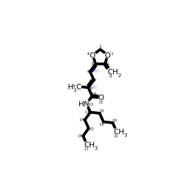 C=C1OCO/C1=C/C=C(\C)C(=O)NC(CCCC)CCCC